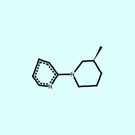 C[C@H]1CCCN(c2ccccn2)C1